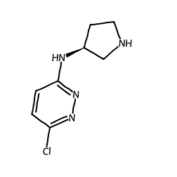 Clc1ccc(N[C@H]2CCNC2)nn1